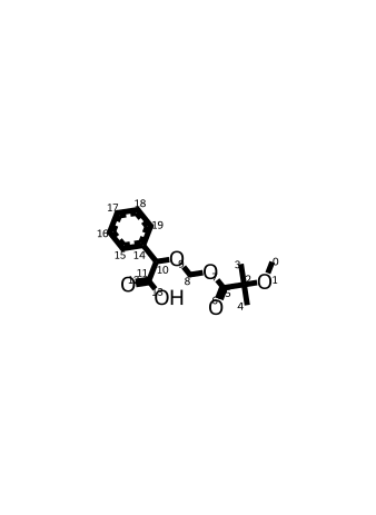 COC(C)(C)C(=O)OCOC(C(=O)O)c1ccccc1